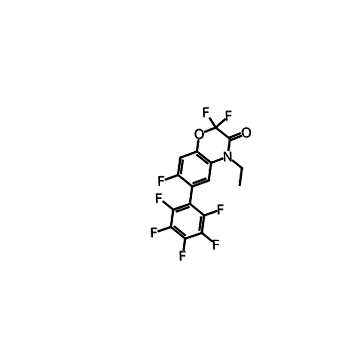 CCN1C(=O)C(F)(F)Oc2cc(F)c(-c3c(F)c(F)c(F)c(F)c3F)cc21